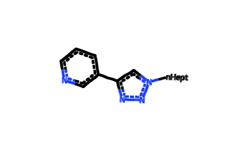 [CH2]CCCCCCn1cc(-c2cccnc2)nn1